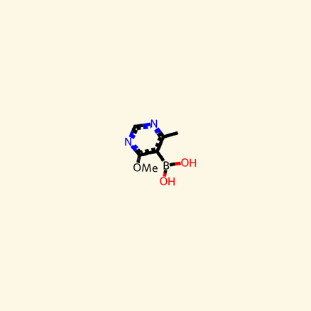 COc1ncnc(C)c1B(O)O